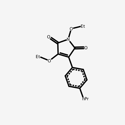 CCCc1ccc(C2=C(OCC)C(=O)N(OCC)C2=O)cc1